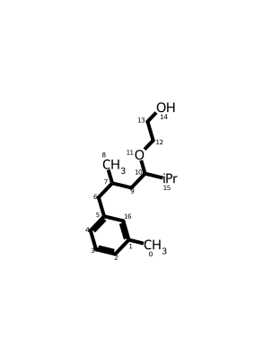 Cc1cccc(CC(C)CC(OCCO)C(C)C)c1